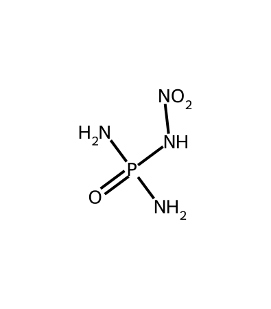 NP(N)(=O)N[N+](=O)[O-]